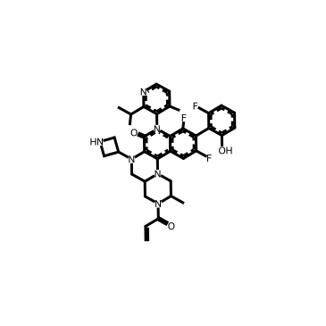 C=CC(=O)N1CC2CN(C3CNC3)c3c(c4cc(F)c(-c5c(O)cccc5F)c(F)c4n(-c4c(C)ccnc4C(C)C)c3=O)N2CC1C